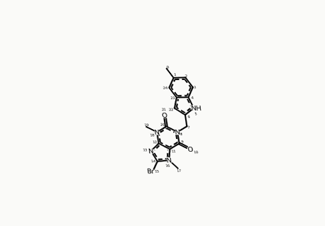 Cc1ccc2[nH]c(Cn3c(=O)c4c(nc(Br)n4C)n(C)c3=O)cc2c1